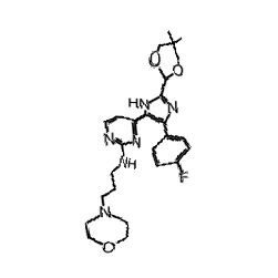 CC1(C)COC(c2nc(-c3ccc(F)cc3)c(-c3ccnc(NCCCN4CCOCC4)n3)[nH]2)OC1